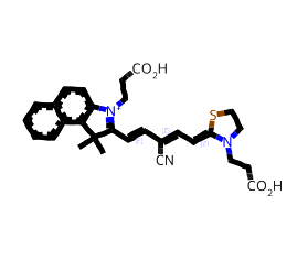 CC1(C)C(/C=C/C(C#N)=C/C=C2\SCCN2CCC(=O)O)=[N+](CCC(=O)O)c2ccc3ccccc3c21